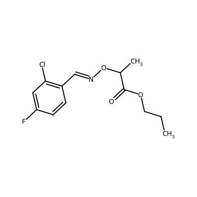 CCCOC(=O)C(C)ON=Cc1c[c]c(F)cc1Cl